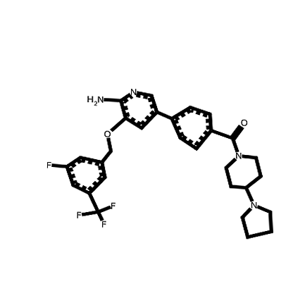 Nc1ncc(-c2ccc(C(=O)N3CCC(N4CCCC4)CC3)cc2)cc1OCc1cc(F)cc(C(F)(F)F)c1